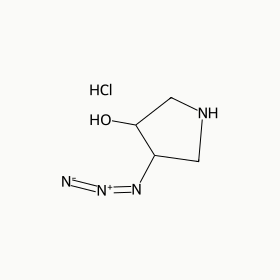 Cl.[N-]=[N+]=NC1CNCC1O